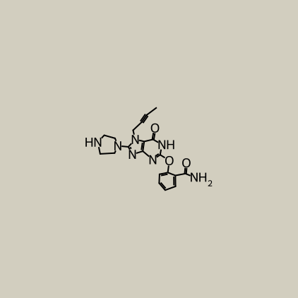 CC#CCn1c(N2CCNCC2)nc2nc(Oc3ccccc3C(N)=O)[nH]c(=O)c21